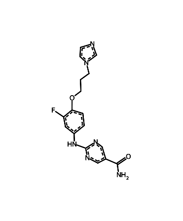 NC(=O)c1cnc(Nc2ccc(OCCCn3ccnc3)c(F)c2)nc1